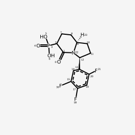 O=C1C(P(=O)(O)O)CC[C@H]2CC[C@@H](c3cc(F)c(F)cc3F)N12